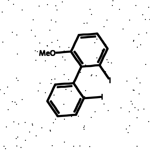 COc1cccc(I)c1-c1ccccc1I